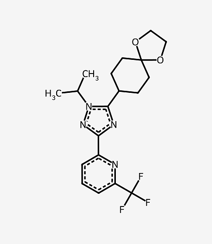 CC(C)n1nc(-c2cccc(C(F)(F)F)n2)nc1C1CCC2(CC1)OCCO2